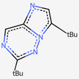 CC(C)(C)c1ncc2ncc(C(C)(C)C)n2n1